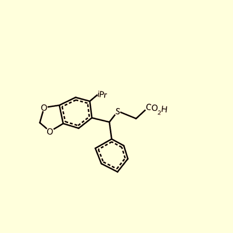 CC(C)c1cc2c(cc1C(SCC(=O)O)c1ccccc1)OCO2